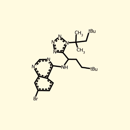 CC(C)(C)CCC(Nc1ncnc2cc(Br)ccc12)c1nnnn1C(C)(C)CC(C)(C)C